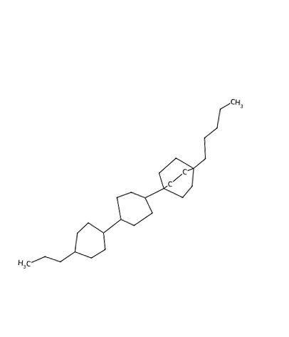 CCCCCC12CCC(C3CCC(C4CCC(CCC)CC4)CC3)(CC1)CC2